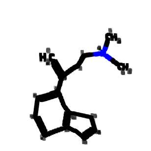 C=C(CCN(C)C)c1cccc2c1CC=C2